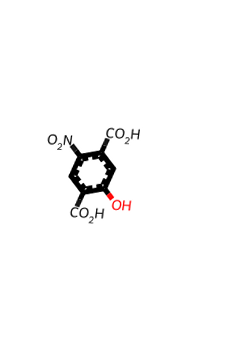 O=C(O)c1cc([N+](=O)[O-])c(C(=O)O)cc1O